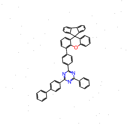 c1ccc(-c2ccc(-c3nc(-c4ccccc4)nc(-c4ccc(-c5cccc6c5Oc5ccccc5C65c6ccccc6-c6ccccc65)cc4)n3)cc2)cc1